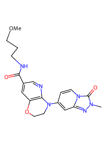 COCCCNC(=O)c1cnc2c(c1)OCCN2c1ccn2c(=O)n(C)nc2c1